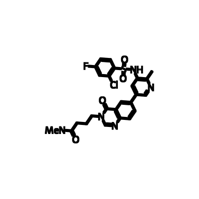 CNC(=O)CCCn1cnc2ccc(-c3cnc(C)c(NS(=O)(=O)c4ccc(F)cc4Cl)c3)cc2c1=O